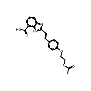 CC(=O)OCCOc1ccc(C=Cc2nc3cccc(C(=O)O)c3[nH]2)cc1